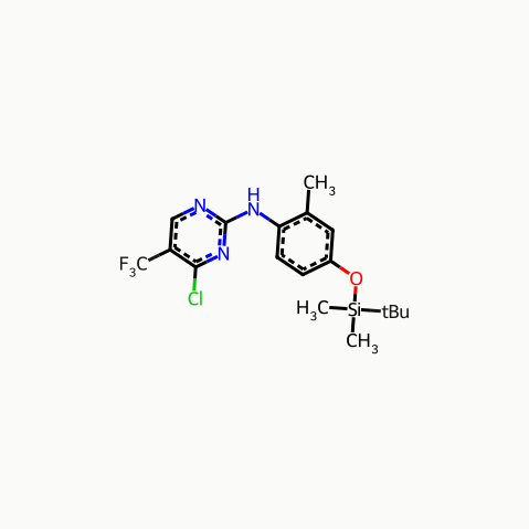 Cc1cc(O[Si](C)(C)C(C)(C)C)ccc1Nc1ncc(C(F)(F)F)c(Cl)n1